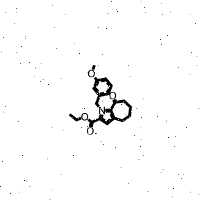 CCOC(=O)c1cc2c(n1Cc1cccc(OC)c1)C(=O)CCCC2